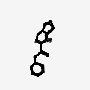 O=C(Oc1ccccc1)c1ncc2cncc-2[nH]1